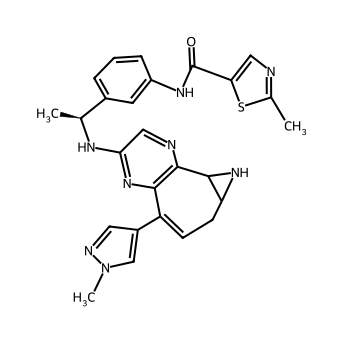 Cc1ncc(C(=O)Nc2cccc([C@H](C)Nc3cnc4c(n3)C(c3cnn(C)c3)=CCC3NC43)c2)s1